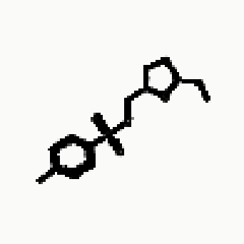 CC[C@@H]1CC[C@H](COS(=O)(=O)c2ccc(C)cc2)O1